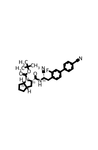 CC(C)(C)OC(=O)N1[C@H](C(=O)N[C@H](C#N)Cc2ccc(-c3ccc(C#N)cc3)cc2F)C[C@@H]2CCC[C@@H]21